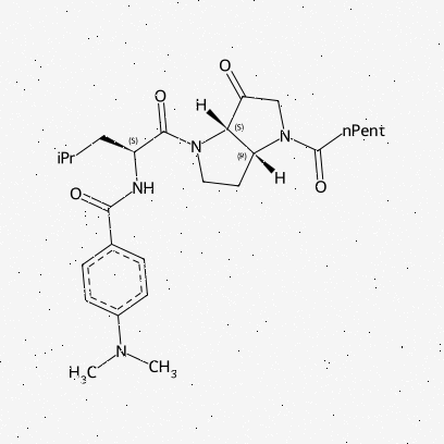 CCCCCC(=O)N1CC(=O)[C@@H]2[C@H]1CCN2C(=O)[C@H](CC(C)C)NC(=O)c1ccc(N(C)C)cc1